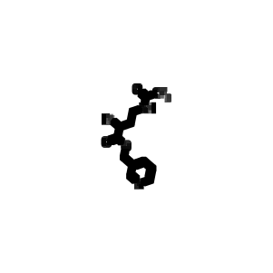 CCC(CCNC(=O)C(F)(F)F)C(=O)OCc1cccnc1